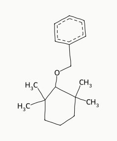 CC1(C)CCCC(C)(C)C1OCc1ccccc1